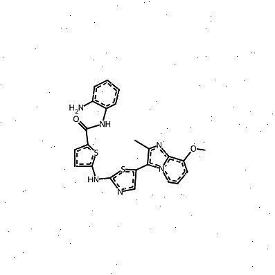 COc1cccn2c(-c3cnc(Nc4ccc(C(=O)Nc5ccccc5N)s4)s3)c(C)nc12